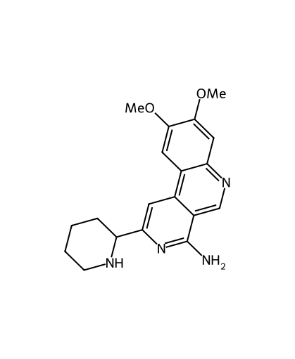 COc1cc2ncc3c(N)nc(C4CCCCN4)cc3c2cc1OC